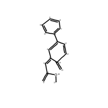 C=C(/C=c1/cc(-c2ccccc2)ccc1=C)OC